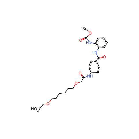 CC(C)(C)OC(=O)Nc1ccccc1NC(=O)c1ccc(NC(=O)COCCCCCCOCC(=O)O)cc1